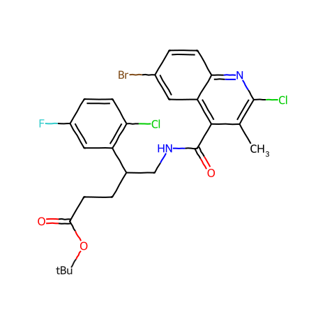 Cc1c(Cl)nc2ccc(Br)cc2c1C(=O)NCC(CCC(=O)OC(C)(C)C)c1cc(F)ccc1Cl